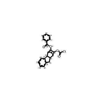 CCC(=O)OC1C2CC(C1OC(=O)c1ccccc1)C1c3ccccc3CC21